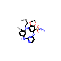 COCCNc1cc(Nc2nccc(Nc3ccc4c(c3S(N)(=O)=O)OCCO4)n2)ccc1C